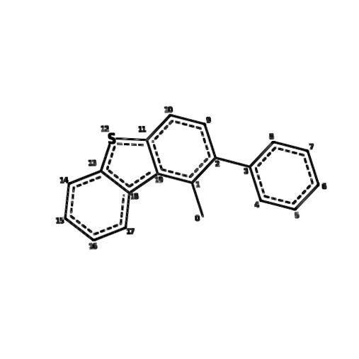 Cc1c(-c2ccccc2)ccc2sc3ccccc3c12